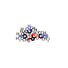 CC1(C)CC(OC(=O)C2CCC(C(=O)OC3CC(C)(C)NC(C)(C)C3)C2C(=O)OC2CC(C)(C)NC(C)(C)C2)CC(C)(C)N1